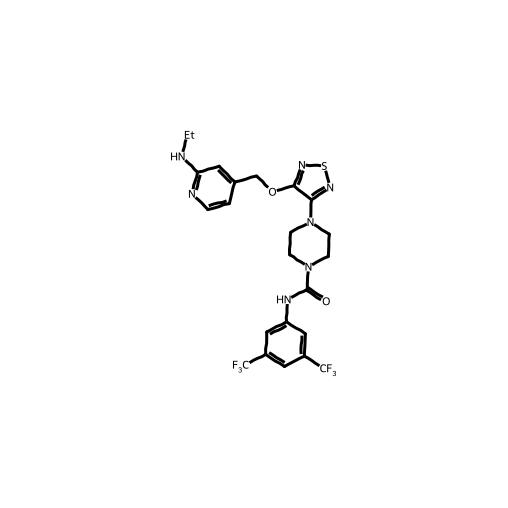 CCNc1cc(COc2nsnc2N2CCN(C(=O)Nc3cc(C(F)(F)F)cc(C(F)(F)F)c3)CC2)ccn1